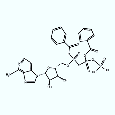 Nc1ncnc2c1ncn2[C@@H]1O[C@H](COP(=O)(OC(=O)c2ccccc2)OP(=O)(OC(=O)c2ccccc2)OP(=O)(O)O)[C@@H](O)[C@H]1O